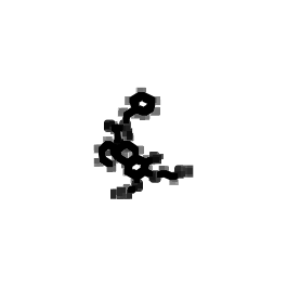 CCCCOc1cc2c(c(Br)c1OCCO)C[C@H]1C3CCCC[C@@]23CCN1C(=O)OCc1ccccc1